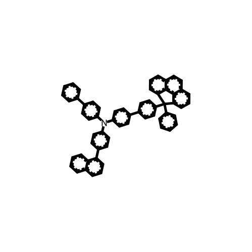 c1ccc(-c2ccc(N(c3ccc(-c4ccc(C5(c6ccccc6)c6cccc7ccc8cccc5c8c67)cc4)cc3)c3ccc(-c4cccc5ccccc45)cc3)cc2)cc1